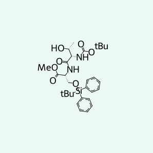 COC(=O)[C@@H](CO[Si](c1ccccc1)(c1ccccc1)C(C)(C)C)NC(=O)[C@@H](NC(=O)OC(C)(C)C)[C@@H](C)O